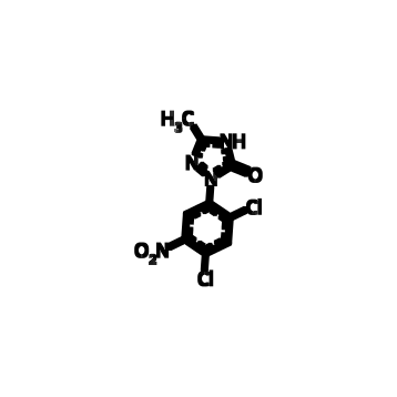 Cc1nn(-c2cc([N+](=O)[O-])c(Cl)cc2Cl)c(=O)[nH]1